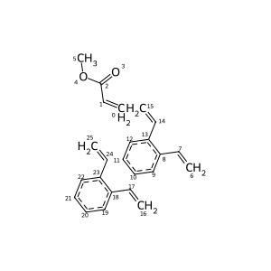 C=CC(=O)OC.C=Cc1ccccc1C=C.C=Cc1ccccc1C=C